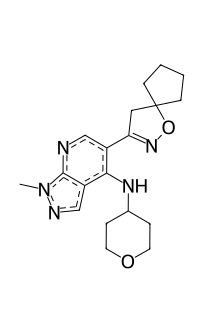 Cn1ncc2c(NC3CCOCC3)c(C3=NOC4(CCCC4)C3)cnc21